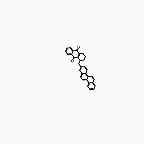 O=C1C2=C(C(=O)c3ccccc31)C(Cc1ccc3c(ccc4c5ccccc5ccc34)c1)CCC2